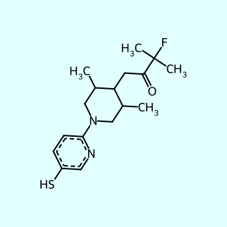 CC1CN(c2ccc(S)cn2)CC(C)C1CC(=O)C(C)(C)F